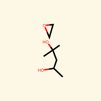 C1CO1.CC(O)CC(C)(C)O